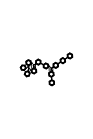 c1ccc(-c2ccc(-c3ccc(N(c4ccc(-c5ccccc5)cc4)c4ccc(-c5cccc(N6c7ccccc7[Si](c7ccccc7)(c7ccccc7)c7ccccc76)c5)cc4)cc3)cc2)cc1